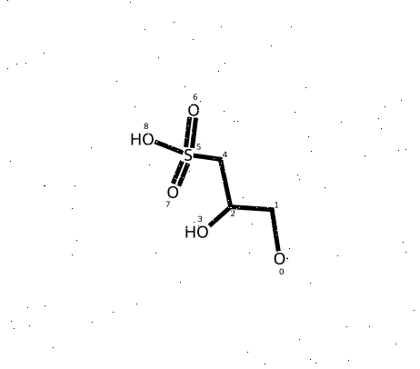 [O]CC(O)CS(=O)(=O)O